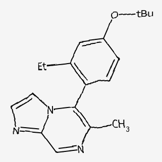 CCc1cc(OC(C)(C)C)ccc1-c1c(C)ncc2nccn12